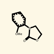 COc1ccccc1N1CCOC1=O